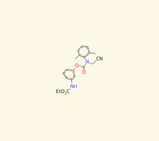 CCOC(=O)Nc1cccc(OC(=O)N(CC#N)c2c(C)cccc2C)c1